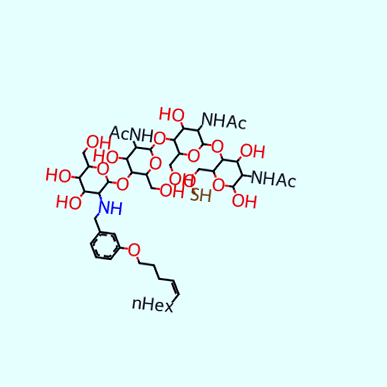 CCCCCC/C=C\CCCOc1cccc(CNC2C(OC3C(CO)OC(OC4C(CO)OC(OC5C(COS)OC(O)C(NC(C)=O)C5O)C(NC(C)=O)C4O)C(NC(C)=O)C3O)OC(CO)C(O)C2O)c1